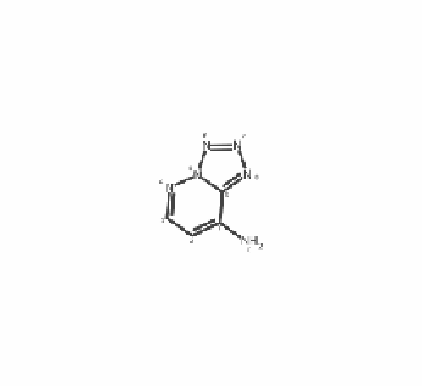 Nc1[c]cnn2nnnc12